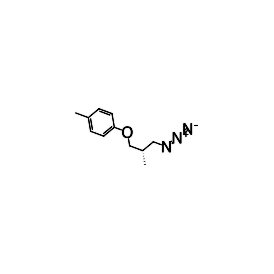 Cc1ccc(OC[C@@H](C)CN=[N+]=[N-])cc1